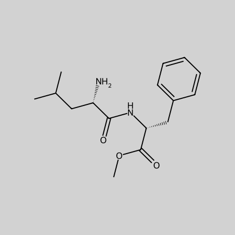 COC(=O)[C@@H](Cc1ccccc1)NC(=O)[C@@H](N)CC(C)C